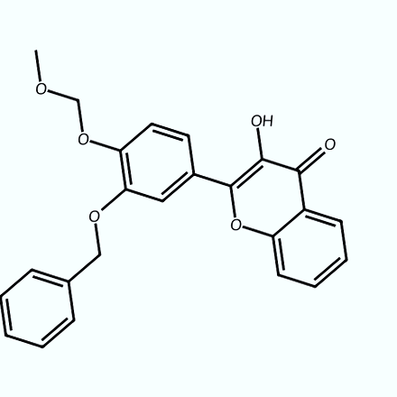 COCOc1ccc(-c2oc3ccccc3c(=O)c2O)cc1OCc1ccccc1